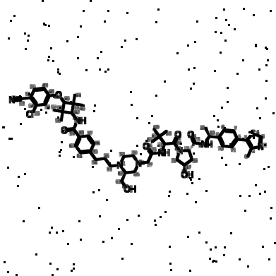 Cc1ncsc1-c1ccc([C@H](C)NC(=O)[C@@H]2C[C@@H](O)CN2C(=O)[C@@H](NC(=O)CN2CCN(CCCc3ccc(C(=O)NC4C(C)(C)C(Oc5ccc(C#N)c(Cl)c5)C4(C)C)cc3)[C@H](CO)C2)C(C)(C)C)cc1